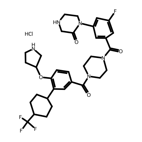 Cl.O=C(c1cc(F)cc(N2CCNCC2=O)c1)N1CCN(C(=O)c2ccc(OC3CCNC3)c(C3CCC(C(F)(F)F)CC3)c2)CC1